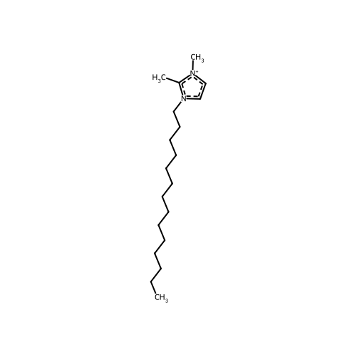 CCCCCCCCCCCCCCn1cc[n+](C)c1C